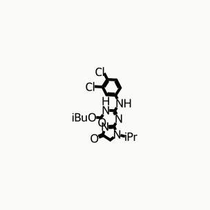 CC(C)COC(=O)N/C(=N\C1=NC(=O)CN1C(C)C)Nc1ccc(Cl)c(Cl)c1